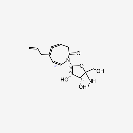 C=CCC1=C=CCC(=O)N([C@@H]2OC(CO)(NC)[C@H](O)[C@@H]2O)/C=C\1